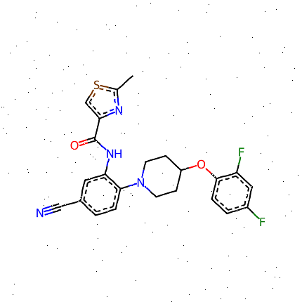 Cc1nc(C(=O)Nc2cc(C#N)ccc2N2CCC(Oc3ccc(F)cc3F)CC2)cs1